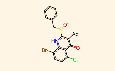 CC(=O)c1c([S+]([O-])Cc2ccccc2)[nH]c2c(Br)ccc(Cl)c2c1=O